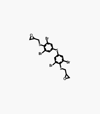 Brc1cc(Sc2cc(Br)c(SCC3CO3)c(Br)c2)cc(Br)c1SCC1CO1